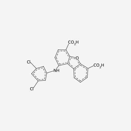 O=C(O)c1cccc2c1oc1c(C(=O)O)ccc(Nc3cc(Cl)cc(Cl)c3)c12